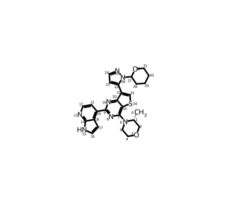 C[C@@H]1COCCN1c1nc(-c2ccnc3[nH]ccc23)nc2c(-c3ccnn3C3CCCCO3)csc12